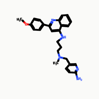 COc1ccc(-c2cc(NCCCN(C)Cc3ccc(N)nc3)c3ccccc3n2)cc1